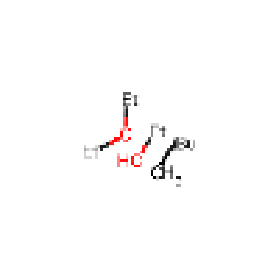 CCC(C)C.CCO.CCOCC